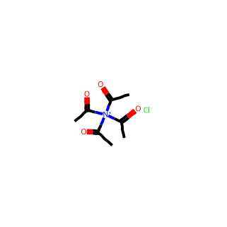 CC(=O)[N+](C(C)=O)(C(C)=O)C(C)=O.[Cl-]